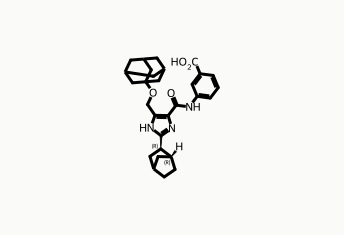 O=C(O)c1cccc(NC(=O)c2nc([C@@H]3CC4CC[C@@H]3C4)[nH]c2COC23CC4CC(CC(C4)C2)C3)c1